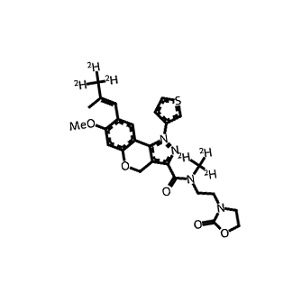 [2H]C([2H])([2H])C(C)=Cc1cc2c(cc1OC)OCc1c(C(=O)N(CCN3CCOC3=O)C([2H])([2H])[2H])nn(-c3ccsc3)c1-2